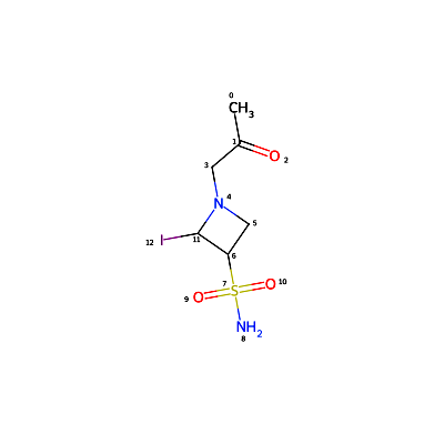 CC(=O)CN1CC(S(N)(=O)=O)C1I